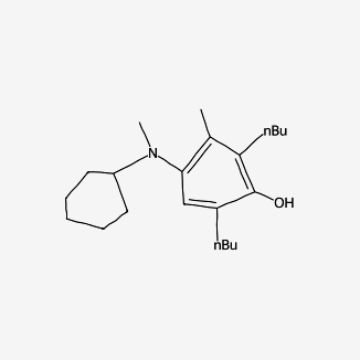 CCCCc1cc(N(C)C2CCCCC2)c(C)c(CCCC)c1O